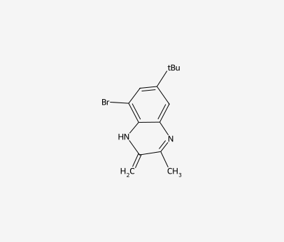 C=C1Nc2c(Br)cc(C(C)(C)C)cc2N=C1C